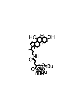 CCCCOC(=O)C(CCC(=O)NCC[C@@H](C)[C@H]1CCC2C3C(CC[C@@]21C)[C@@]1(C)CC[C@@H](O)C[C@H]1C[C@@H]3O)CP(=O)(OCCCC)OCCCC